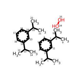 CC(C)c1cccc(C(C)C)c1.CC(C)c1cccc(C(C)C)c1.OO